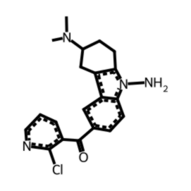 CN(C)C1CCc2c(c3cc(C(=O)c4cccnc4Cl)ccc3n2N)C1